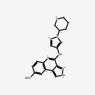 COc1ccc2nc(Nc3cnn(C4CCCOC4)c3)c3n[nH]cc3c2c1